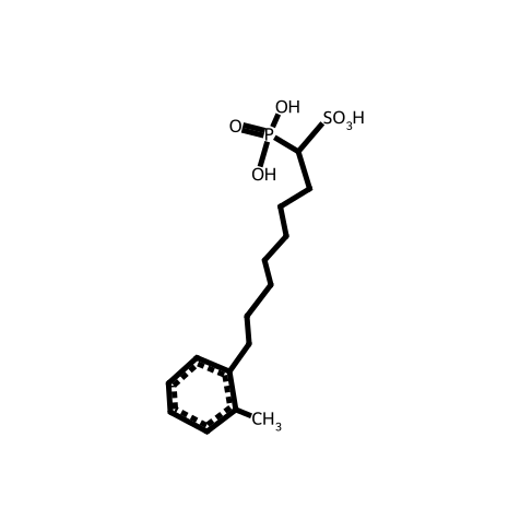 Cc1ccccc1CCCCCCCC(P(=O)(O)O)S(=O)(=O)O